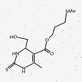 CSCCCOC(=O)C1=C(C)NC(=S)NC1CO